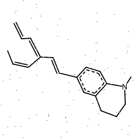 C=C/C=C(\C=C/C)/C=C/c1ccc2c(c1)CCCN2C